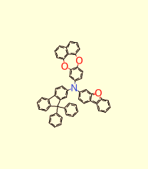 c1ccc(C2(c3ccccc3)c3ccccc3-c3ccc(N(c4ccc5c(c4)Oc4cccc6cccc(c46)O5)c4ccc5c(c4)oc4ccccc45)cc32)cc1